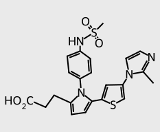 Cc1nccn1-c1csc(-c2ccc(CCC(=O)O)n2-c2ccc(NS(C)(=O)=O)cc2)c1